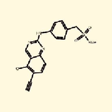 C#Cc1ccc2nc(Nc3ccc(CS(=O)(=O)NC)cc3)ncc2c1Cl